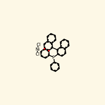 [Cl][Ni][Cl].c1ccc(P(c2ccccc2)c2ccc3ccccc3c2-c2cccc3ccccc23)cc1